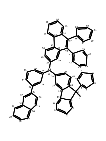 CC1(c2ccccc2)c2ccccc2-c2cc(N(c3cccc(-c4ccc5ccccc5c4)c3)c3ccc4c(c3)c(-c3ccccc3)c(-c3ccccc3)c3ccccc34)ccc21